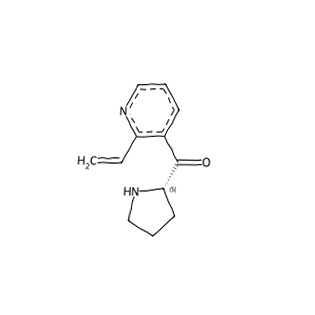 C=Cc1ncccc1C(=O)[C@@H]1CCCN1